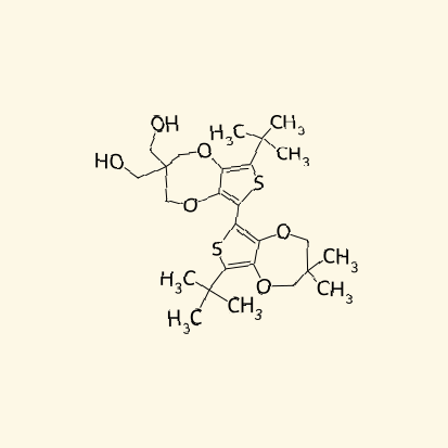 CC1(C)COc2c(-c3sc(C(C)(C)C)c4c3OCC(CO)(CO)CO4)sc(C(C)(C)C)c2OC1